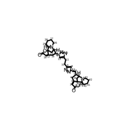 O=C1C=C2CC(/C=[N+]3/C=C(CCc4cn([C@H]5CC6=CC(=O)O[C@@]67C[C@@H]5N5CCCC[C@@H]57)nn4)N=N3)[C@@H]3C[C@@]2(O1)[C@H]1CCCCN31